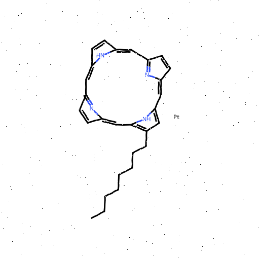 CCCCCCCCc1cc2cc3nc(cc4ccc(cc5nc(cc1[nH]2)C=C5)[nH]4)C=C3.[Pt]